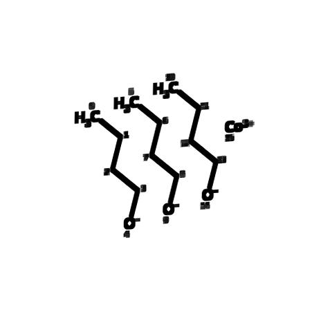 CCCC[O-].CCCC[O-].CCCC[O-].[Co+3]